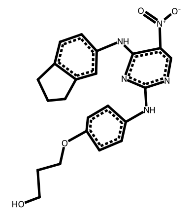 O=[N+]([O-])c1cnc(Nc2ccc(OCCCO)cc2)nc1Nc1ccc2c(c1)CCC2